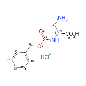 Cl.NC[C@H](NC(=O)OCc1ccccc1)C(=O)O